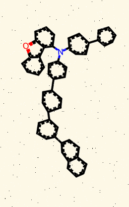 c1ccc(-c2ccc(N(c3ccc(-c4ccc(-c5cccc(-c6ccc7ccccc7c6)c5)cc4)cc3)c3cccc4oc5ccccc5c34)cc2)cc1